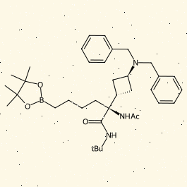 CC(=O)N[C@](CCCCB1OC(C)(C)C(C)(C)O1)(C(=O)NC(C)(C)C)[C@H]1C[C@H](N(Cc2ccccc2)Cc2ccccc2)C1